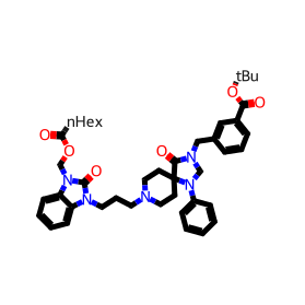 CCCCCCC(=O)OCn1c(=O)n(CCCN2CCC3(CC2)C(=O)N(Cc2cccc(C(=O)OC(C)(C)C)c2)CN3c2ccccc2)c2ccccc21